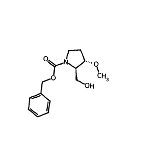 CO[C@H]1CCN(C(=O)OCc2ccccc2)[C@@H]1CO